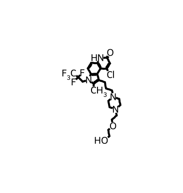 Cc1c(CCCN2CCN(CCOCCO)CC2)c2c3c(Cl)cc(=O)[nH]c3ccc2n1CC(F)(F)C(F)(F)F